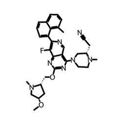 CO[C@@H]1C[C@@H](COc2nc(N3CCN(C)[C@@H](CC#N)C3)c3cnc(-c4cccc5cccc(C)c45)c(F)c3n2)N(C)C1